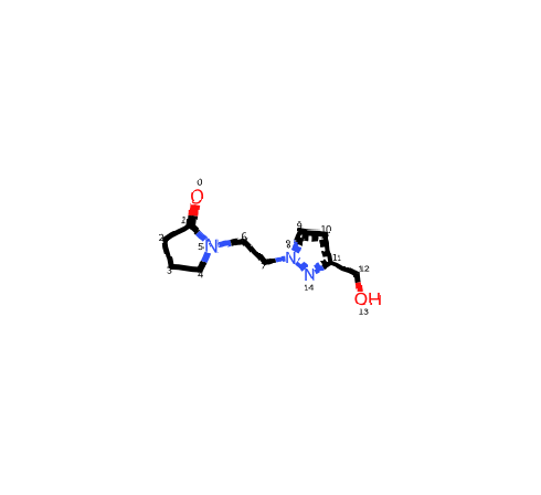 O=C1CCCN1CCn1ccc(CO)n1